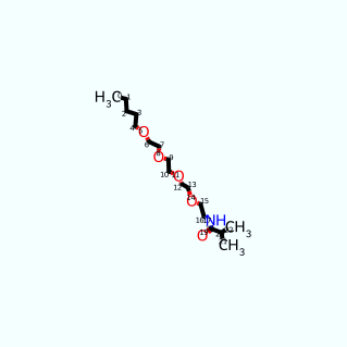 CCCCCOCCOCCOCCOCCNC(=O)C(C)C